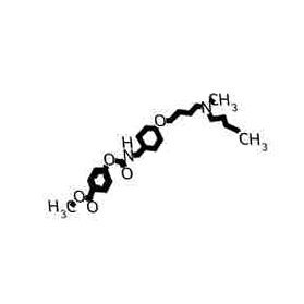 CCCCCN(C)CCCCOC1CCC(CNC(=O)Oc2ccc(C(=O)OC)cc2)CC1